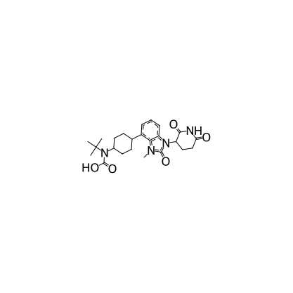 Cn1c(=O)n(C2CCC(=O)NC2=O)c2cccc(C3CCC(N(C(=O)O)C(C)(C)C)CC3)c21